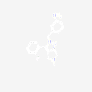 CN1Cc2nn(Cc3cccc(N)c3)c(-c3ccccc3F)c2C1